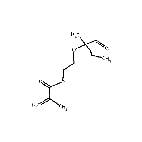 C=C(C)C(=O)OCCOC(C)(C=O)CC